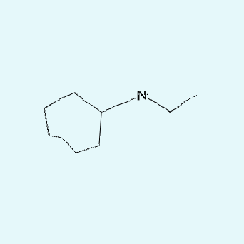 CC[N]C1CCCCC1